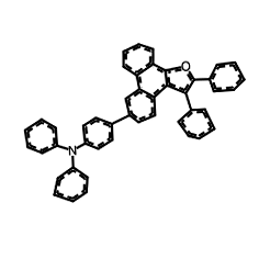 c1ccc(-c2oc3c4ccccc4c4cc(-c5ccc(N(c6ccccc6)c6ccccc6)cc5)ccc4c3c2-c2ccccc2)cc1